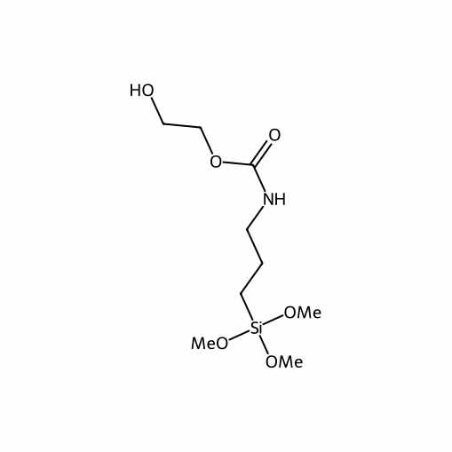 CO[Si](CCCNC(=O)OCCO)(OC)OC